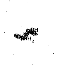 Nc1ncc(N2CCOCC2)cc1-c1ccc(C(=O)NC(CO)c2ccccc2)cc1